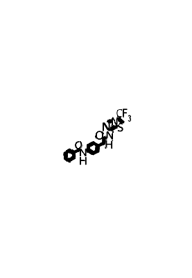 O=C(Cc1ccc(NC(=O)c2ccccc2)cc1)Nc1ncn2c(C(F)(F)F)csc12